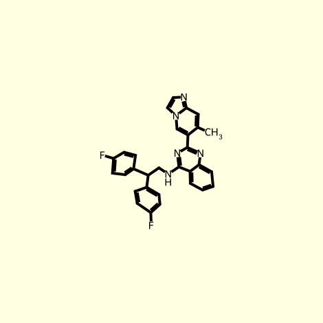 Cc1cc2nccn2cc1-c1nc(NCC(c2ccc(F)cc2)c2ccc(F)cc2)c2ccccc2n1